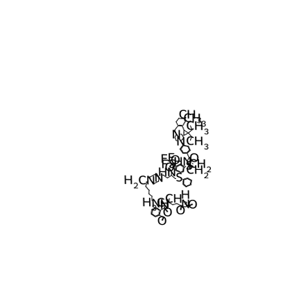 C=C(CCCCCNc1cccc(C=O)c1C(=O)N(C)C(C)CCC(=O)NC=O)N1CCN(CCC(CSc2ccccc2)Nc2ccc(S(=C)(=C)NC(=O)c3ccc(N4CCN(CC5=C(C6CC6(CC)CC)CC(C)(C)CC5)CC4)cc3)cc2S(=O)(=O)C(F)(F)F)CC1